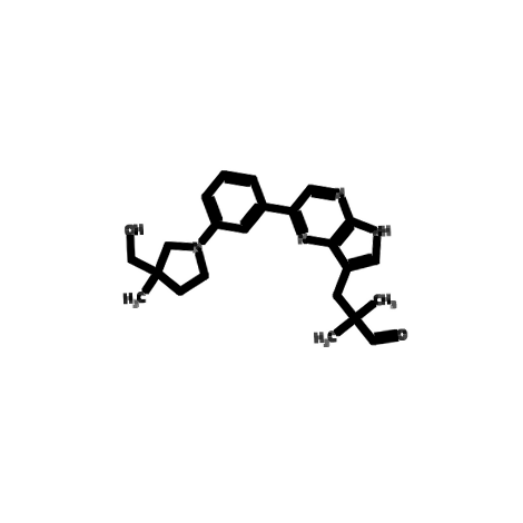 CC(C)(C=O)Cc1c[nH]c2ncc(-c3cccc(N4CCC(C)(CO)C4)c3)nc12